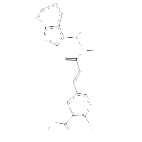 COC(=O)c1cc(C=CC(=O)N(C)C(C)c2c[nH]c3ccccc23)cnc1N